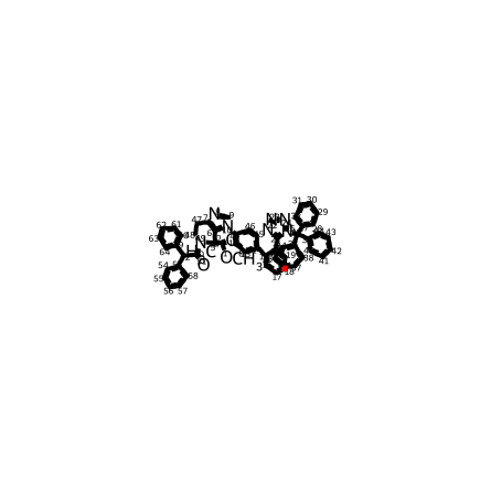 COC(=O)C1(C)c2c(ncn2-c2ccc(-c3ccccc3-c3nnnn3C(c3ccccc3)(c3ccccc3)c3ccccc3)cc2)CCN1C(=O)C(c1ccccc1)c1ccccc1